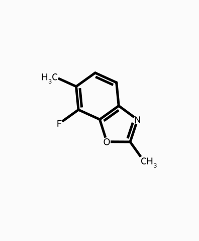 Cc1nc2ccc(C)c(F)c2o1